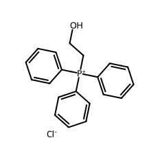 OCC[P+](c1ccccc1)(c1ccccc1)c1ccccc1.[Cl-]